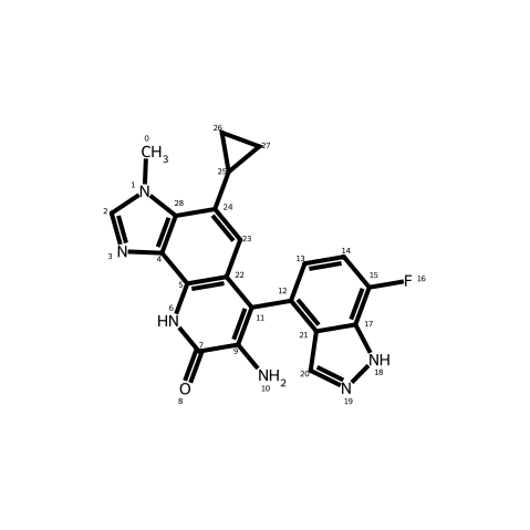 Cn1cnc2c3[nH]c(=O)c(N)c(-c4ccc(F)c5[nH]ncc45)c3cc(C3CC3)c21